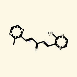 Cc1nccnc1/C=C/C(=O)/C=C/c1nccnc1N